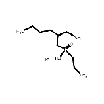 CCCCC(CC)CP(=O)(O)CCC.[Fe]